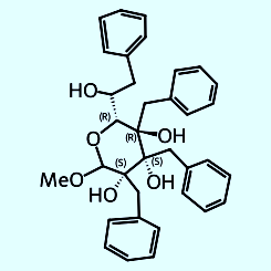 COC1O[C@H](C(O)Cc2ccccc2)[C@](O)(Cc2ccccc2)[C@@](O)(Cc2ccccc2)[C@@]1(O)Cc1ccccc1